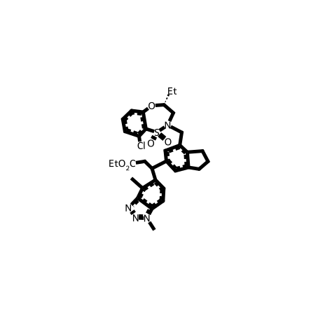 CCOC(=O)CC(c1cc2c(c(CN3C[C@@H](CC)Oc4cccc(Cl)c4S3(=O)=O)c1)CCC2)c1ccc2c(nnn2C)c1C